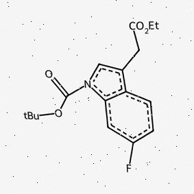 CCOC(=O)Cc1cn(C(=O)OC(C)(C)C)c2cc(F)ccc12